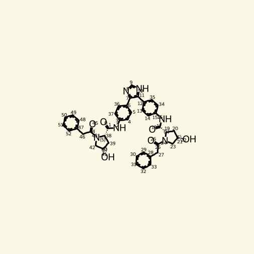 O=C(Nc1ccc(-c2nc[nH]c2-c2ccc(NC(=O)[C@@H]3C[C@H](O)CN3C(=O)Cc3ccccc3)cc2)cc1)[C@@H]1C[C@H](O)CN1C(=O)Cc1ccccc1